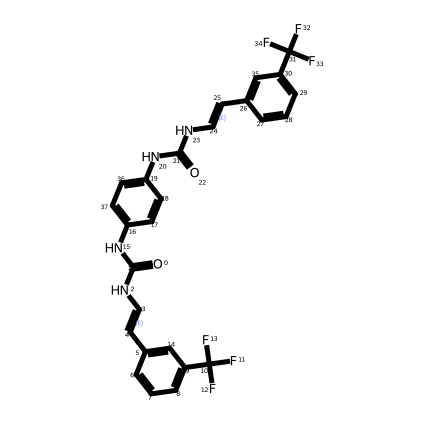 O=C(N/C=C/c1cccc(C(F)(F)F)c1)Nc1ccc(NC(=O)N/C=C/c2cccc(C(F)(F)F)c2)cc1